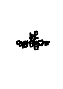 COCC(C)(C)ONC(=O)c1cn(C)c(=O)c(C)c1Nc1ccc(Br)cc1Cl